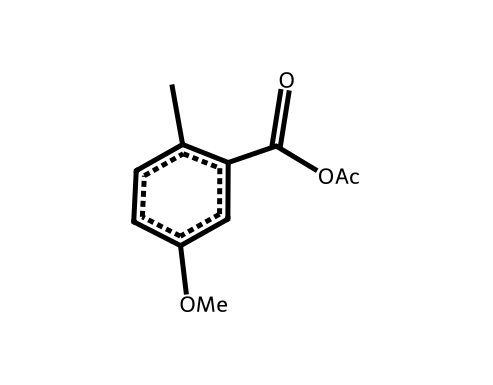 COc1ccc(C)c(C(=O)OC(C)=O)c1